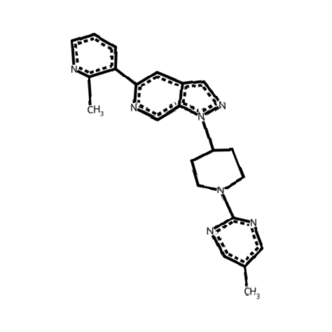 Cc1cnc(N2CCC(n3ncc4cc(-c5cccnc5C)ncc43)CC2)nc1